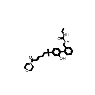 CCNC(=O)NCc1ccccc1-c1ccc(C(C)(C)CCC=CC(=O)N2CCOCC2)cc1O